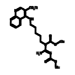 CCOC(=O)c1cnc2ccccc2c1NCCCCCN(C(=O)OC(C)(C)C)/C(N)=N/C(=O)OC(C)(C)C